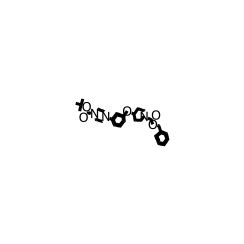 CC(C)(C)OC(=O)N1CCN(c2cccc(OC3CCN(C(=O)OCc4ccccc4)CC3)c2)CC1